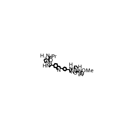 COC(=O)N[C@H](C(=O)N1CCC[C@H]1c1ncc(-c2ccc(-c3cc4ccc(-c5c[nH]c([C@@H]6CCCN6C(=O)[C@@H](N)C(C)C)n5)cc4cn3)cc2)[nH]1)C(C)C